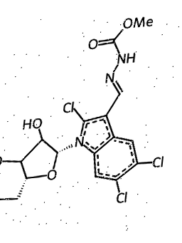 COC(=O)N/N=C/c1c(Cl)n([C@@H]2O[C@H](CO)C(O)C2O)c2cc(Cl)c(Cl)cc12